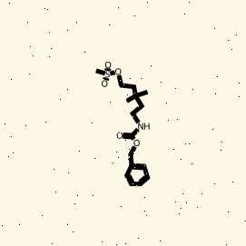 CC(C)(CCNC(=O)OCc1ccccc1)CCOS(C)(=O)=O